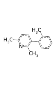 Cc1ccc(-c2ccccc2C)c(C)n1